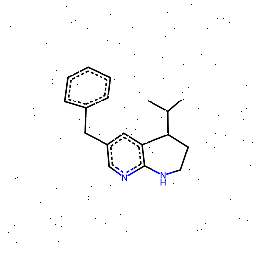 CC(C)C1CCNc2ncc(Cc3ccccc3)cc21